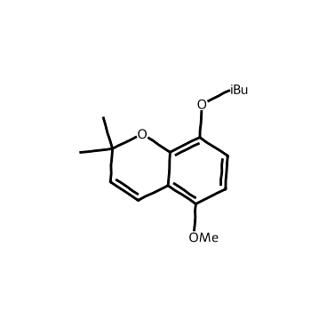 CCC(C)Oc1ccc(OC)c2c1OC(C)(C)C=C2